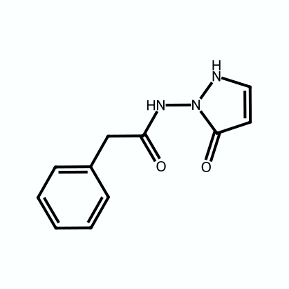 O=C(Cc1ccccc1)Nn1[nH]ccc1=O